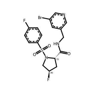 O=C(NCc1cncc(Br)c1)[C@@H]1C[C@@H](F)CN1S(=O)(=O)c1ccc(F)cc1